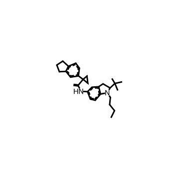 C=C(Nc1ccc2c(c1)CC(C(C)(C)C)N2CCCC)C1(c2ccc3c(c2)CCC3)CC1